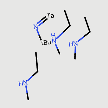 CC(C)(C)[N]=[Ta].CCNC.CCNC.CCNC